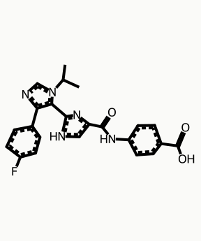 CC(C)n1cnc(-c2ccc(F)cc2)c1-c1nc(C(=O)Nc2ccc(C(=O)O)cc2)c[nH]1